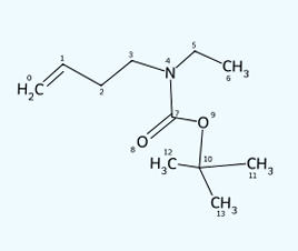 C=CCCN(CC)C(=O)OC(C)(C)C